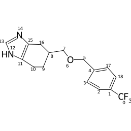 FC(F)(F)c1ccc(COCC2CCc3[nH]cnc3C2)cc1